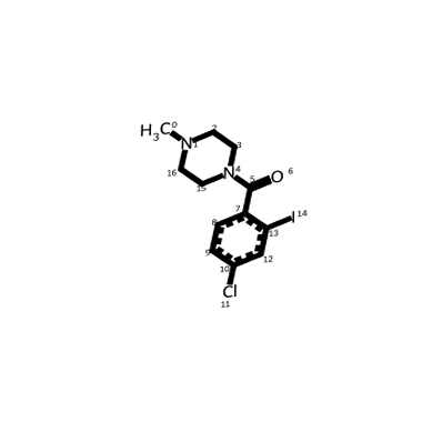 CN1CCN(C(=O)c2ccc(Cl)cc2I)CC1